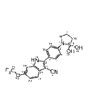 N#Cc1c(-c2ccc(N3CCCS3(O)O)cc2)[nH]c2cc(OC(F)(F)F)ccc12